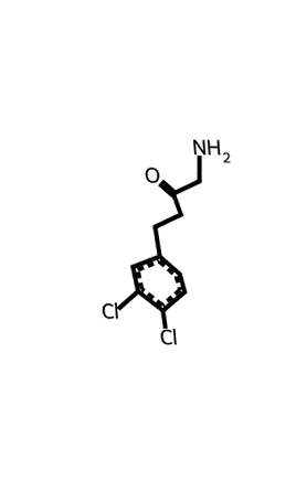 NCC(=O)CCc1ccc(Cl)c(Cl)c1